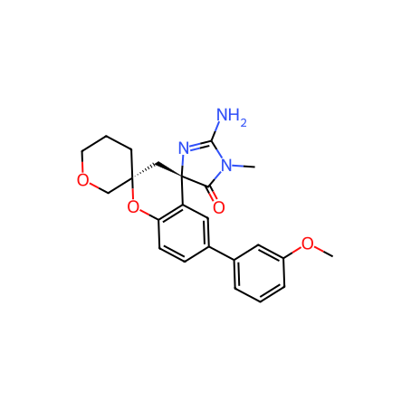 COc1cccc(-c2ccc3c(c2)[C@]2(C[C@]4(CCCOC4)O3)N=C(N)N(C)C2=O)c1